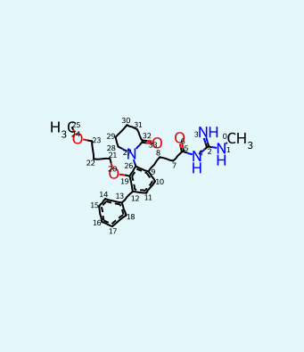 CNC(=N)NC(=O)CCc1ccc(-c2ccccc2)c(OCCCOC)c1N1CCCCC1=O